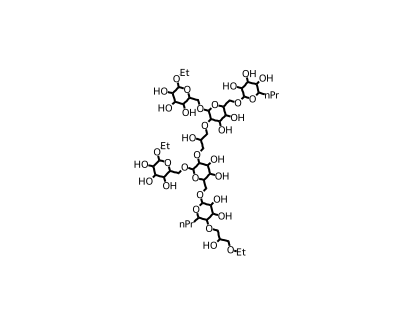 CCCC1OC(OCC2OC(OCC3OC(OCC)C(O)C(O)C3O)C(OCC(O)COC3C(OCC4OC(OCC)C(O)C(O)C4O)OC(COC4OC(CCC)C(OCC(O)COCC)C(O)C4O)C(O)C3O)C(O)C2O)C(O)C(O)C1O